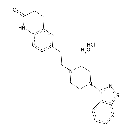 Cl.O.O=C1CCc2cc(CCN3CCN(c4nsc5ccccc45)CC3)ccc2N1